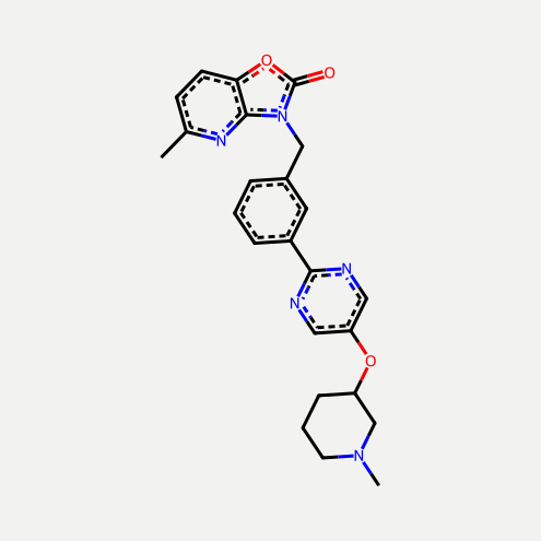 Cc1ccc2oc(=O)n(Cc3cccc(-c4ncc(OC5CCCN(C)C5)cn4)c3)c2n1